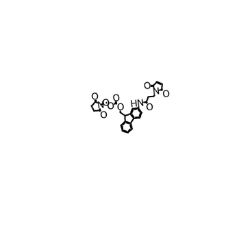 O=C(CCN1C(=O)C=CC1=O)Nc1ccc2c(c1)C(COC(=O)OON1C(=O)CCC1=O)c1ccccc1-2